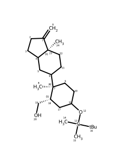 C=C1CCC2CC([C@@]3(C)CCC(O[Si](C)(C)C(C)(C)C)C[C@@H]3CO)CC[C@]12C